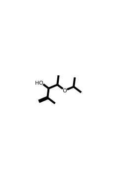 C=C(C)C(O)C(C)OC(C)C